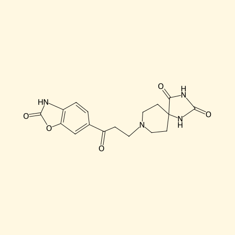 O=C1NC(=O)C2(CCN(CCC(=O)c3ccc4[nH]c(=O)oc4c3)CC2)N1